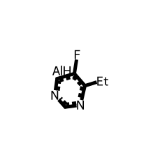 CCc1ncncc1F.[AlH3]